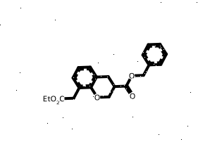 CCOC(=O)Cc1cccc2c1OCC(C(=O)OCc1ccccc1)C2